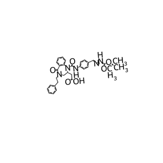 CC(C)(C)OC(=O)NN=Cc1ccc(NC(=O)N2c3ccccc3C(=O)N(CCc3ccccc3)CC2CC(=O)O)cc1